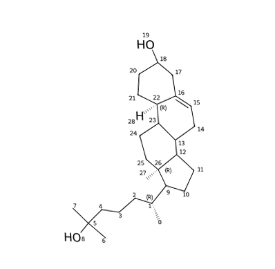 C[C@H](CCCC(C)(C)O)C1CCC2C3CC=C4CC(O)CC[C@@H]4C3CC[C@@]21C